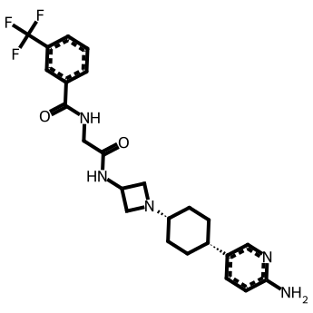 Nc1ccc([C@H]2CC[C@@H](N3CC(NC(=O)CNC(=O)c4cccc(C(F)(F)F)c4)C3)CC2)cn1